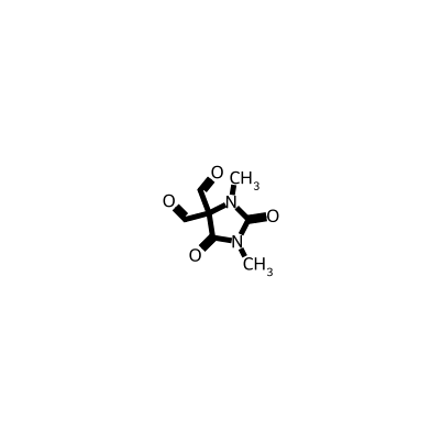 CN1C(=O)N(C)C(C=O)(C=O)C1=O